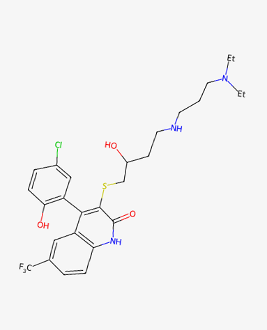 CCN(CC)CCCNCCC(O)CSc1c(-c2cc(Cl)ccc2O)c2cc(C(F)(F)F)ccc2[nH]c1=O